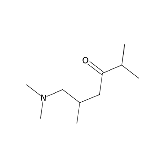 CC(CC(=O)C(C)C)CN(C)C